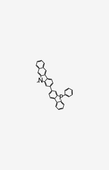 Cn1c2cc(-c3ccc4c5ccccc5p(-c5ccccc5)c4c3)ccc2c2cc3ccccc3cc21